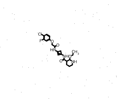 CCOC1NCCCC1C(=O)NC12CC(NC(=O)COc3ccc(Cl)c(F)c3)(C1)C2